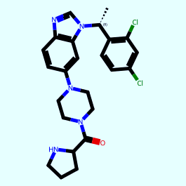 C[C@H](c1ccc(Cl)cc1Cl)n1cnc2ccc(N3CCN(C(=O)C4CCCN4)CC3)cc21